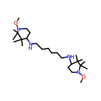 CON1CCC(NCCCCCCNC2CCN(OC)C(C)(C)C2(C)C)C(C)(C)C1(C)C